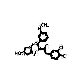 C=Nc1cccc([C@@H](CN2CC[C@H](O)C2)N(C)C(=O)Cc2ccc(Cl)c(Cl)c2)c1